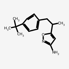 CC(Cc1ccc(C(C)(C)C)cc1)c1cc(N)no1